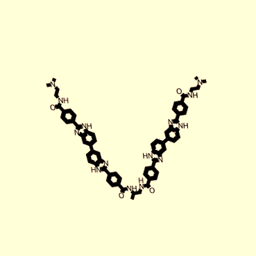 CC(CNC(=O)c1ccc(-c2nc3cc(-c4ccc5[nH]c(-c6ccc(C(=O)NCCN(C)C)cc6)nc5c4)ccc3[nH]2)cc1)NC(=O)c1ccc(-c2nc3cc(-c4ccc5[nH]c(-c6ccc(C(=O)NCCN(C)C)cc6)nc5c4)ccc3[nH]2)cc1